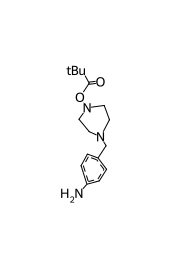 CC(C)(C)C(=O)ON1CCN(Cc2ccc(N)cc2)CC1